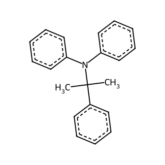 CC(C)(c1ccccc1)N(c1ccccc1)c1ccccc1